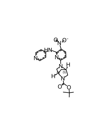 CC(C)(C)OC(=O)N1C[C@@H]2C[C@H]1CN2c1ccc([N+](=O)[O-])c(Nc2ccncc2)n1